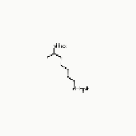 C[CH]CCCCC(C)CCCCCCCCCCCC